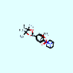 CC(C)(C)OC(=O)N1C2CC1CN(c1ccc(B3OC(C)(C)C(C)(C)O3)cc1)C2